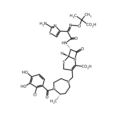 C[C@H]1CCN(CC2=C(C(=O)O)N3C(=O)[C@@H](NC(=O)/C(=N\OC(C)(C)C(=O)O)c4csc(N)n4)[C@H]3SC2)CCN1C(=O)c1ccc(O)c(O)c1Cl